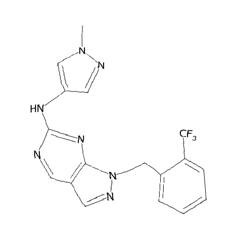 Cn1cc(Nc2ncc3cnn(Cc4ccccc4C(F)(F)F)c3n2)cn1